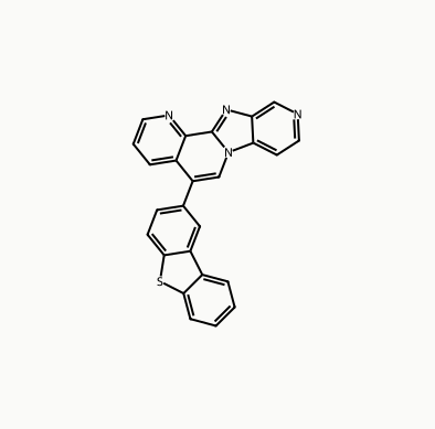 c1ccc2c(c1)sc1ccc(-c3cn4c5ccncc5nc4c4ncccc34)cc12